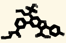 CNC(=O)c1c(-c2ccc(F)cc2)oc2cc(N(CCF)S(C)(=O)=O)c(-c3cccc(C(=O)NCC(C)(C)C)c3)cc12